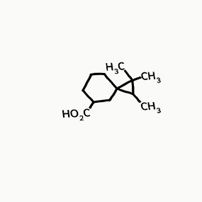 CC1C(C)(C)C12CCCC(C(=O)O)C2